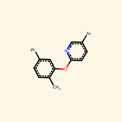 CC(=O)c1ccc(Oc2cc(C(C)C)ccc2C)nc1